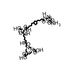 NS(=O)(=O)c1nnc(NC(=O)CCCC2CCC(CCCCC(=O)N[C@@H](CC(=O)O)C(=O)NCCCCNC(=O)CN3CCN(CC(=O)O)CCN(CC(=O)O)CC3)C2)s1